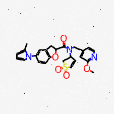 COc1cc(CN(C(=O)C2Cc3cc(-n4cccc4C)ccc3O2)C2C=CS(=O)(=O)C2)ccn1